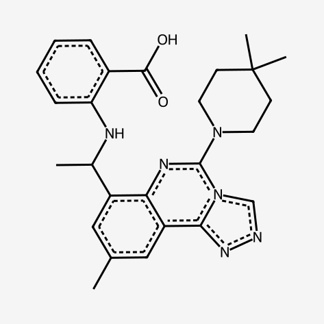 Cc1cc(C(C)Nc2ccccc2C(=O)O)c2nc(N3CCC(C)(C)CC3)n3cnnc3c2c1